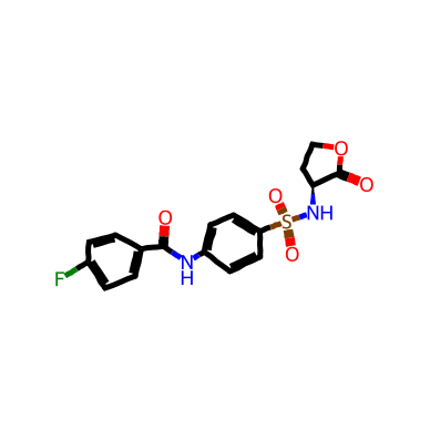 O=C(Nc1ccc(S(=O)(=O)N[C@H]2CCOC2=O)cc1)c1ccc(F)cc1